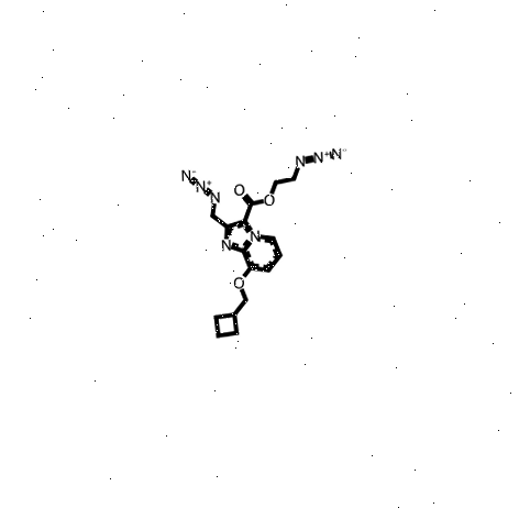 [N-]=[N+]=NCCOC(=O)c1c(CN=[N+]=[N-])nc2c(OCC3CCC3)cccn12